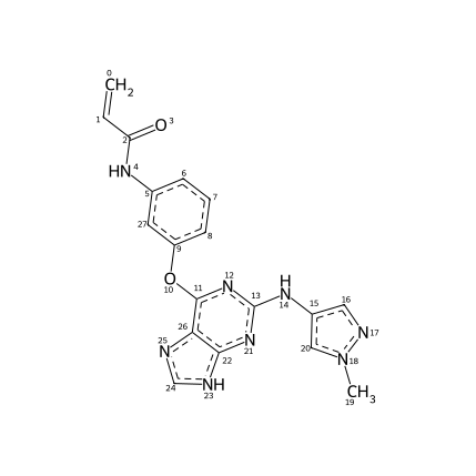 C=CC(=O)Nc1cccc(Oc2nc(Nc3cnn(C)c3)nc3[nH]cnc23)c1